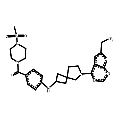 CS(=O)(=O)N1CCN(C(=O)c2ccc(NC3CC4(CCN(c5ncnc6sc(CC(F)(F)F)cc56)C4)C3)cc2)CC1